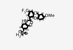 COc1ccc(Oc2ccc(C(F)(F)F)cc2C(=O)Nc2ccc(S(N)(=O)=O)cc2Cl)c(Cl)c1